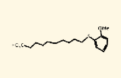 COc1ccccc1SCCCCCCCCCC(=O)O